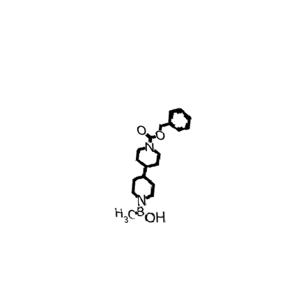 CB(O)N1CCC(C2CCN(C(=O)OCc3ccccc3)CC2)CC1